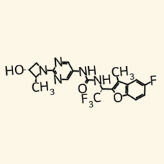 Cc1c([C@@H](NC(=O)Nc2cnc(N3C[C@@H](O)[C@@H]3C)nc2)C(F)(F)F)oc2ccc(F)cc12